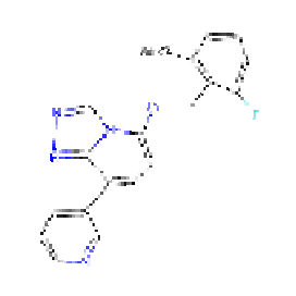 COc1cccc(F)c1CNc1ccc(-c2cccnc2)c2nncn12